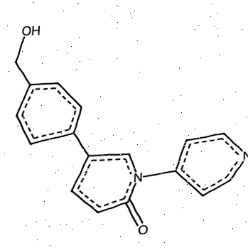 O=c1ccc(-c2ccc(CO)cc2)cn1-c1ccncc1